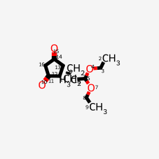 C=C.CCOC(C)OCC.O=C1CCC(=O)C1